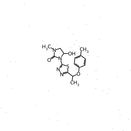 Cc1ccc(OC(C)c2nnc(N3C(=O)N(C)CC3O)s2)cc1